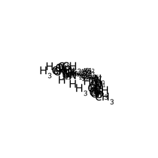 COC(=O)N[C@H](C(=O)N1CCC[C@@H]1c1ncc(C#Cc2ccc(C#Cc3cnc([C@@H]4CCCN4C(=O)[C@@H](NC(=O)OC)C(C)C)[nH]3)c3c2CCC32CCCC2)[nH]1)C(C)C